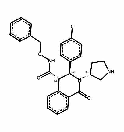 O=C(NOCc1ccccc1)[C@H]1c2ccccc2C(=O)N([C@@H]2CCNC2)[C@@H]1c1ccc(Cl)cc1